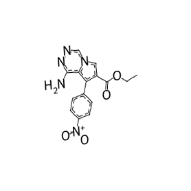 CCOC(=O)c1cn2cnnc(N)c2c1-c1ccc([N+](=O)[O-])cc1